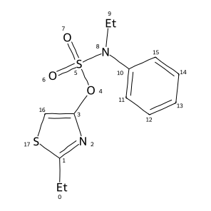 CCc1nc(OS(=O)(=O)N(CC)c2ccccc2)cs1